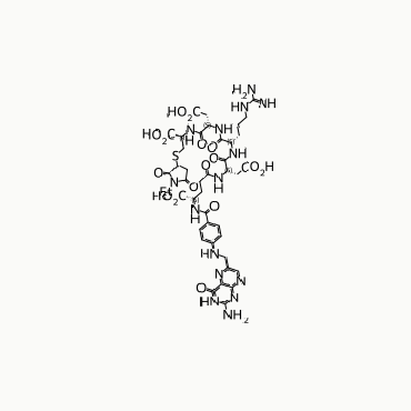 CCN1C(=O)CC(SC[C@H](NC(=O)[C@H](CC(=O)O)NC(=O)[C@H](CCCNC(=N)N)NC(=O)[C@H](CC(=O)O)NC(=O)CC[C@H](NC(=O)c2ccc(NCc3cnc4nc(N)[nH]c(=O)c4n3)cc2)C(=O)O)C(=O)O)C1=O